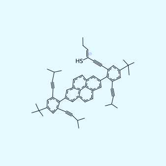 CC/C=C(\S)C#Cc1cc(C(C)(C)C)cc(C#CC(C)C)c1-c1cc2ccc3cc(-c4c(C#CC(C)C)cc(C(C)(C)C)cc4C#CC(C)C)cc4ccc(c1)c2c34